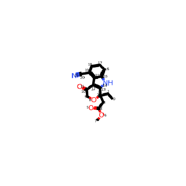 CCC1(CC(=O)OC)OCC(=O)c2c1[nH]c1cccc(C#N)c21